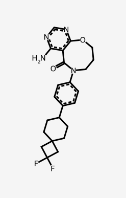 Nc1ncnc2c1C(=O)N(c1ccc(C3CCC4(CC3)CC(F)(F)C4)cc1)CCCO2